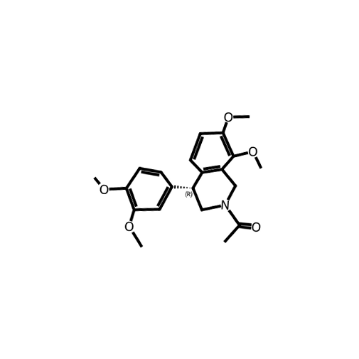 COc1ccc([C@H]2CN(C(C)=O)Cc3c2ccc(OC)c3OC)cc1OC